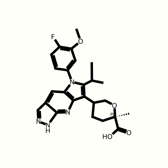 COc1cc(-n2c(C(C)C)c(C3CC[C@](C)(C(=O)O)OC3)c3nc4[nH]ncc4cc32)ccc1F